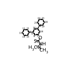 CN(C)NC(=S)Oc1cc(-c2ccccc2)cc(-c2ccccc2)c1